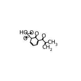 C=C(C)C(=O)C1=CC=CC(S(=O)(=O)O)C1=O